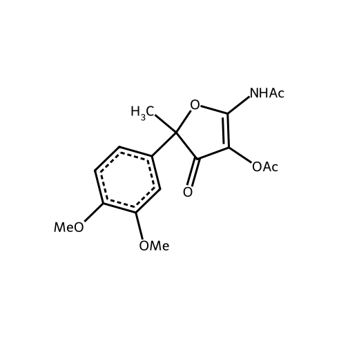 COc1ccc(C2(C)OC(NC(C)=O)=C(OC(C)=O)C2=O)cc1OC